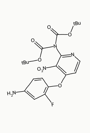 CC(C)(C)OC(=O)N(C(=O)OC(C)(C)C)c1nccc(Oc2ccc(N)cc2F)c1[N+](=O)[O-]